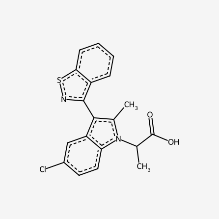 Cc1c(-c2nsc3ccccc23)c2cc(Cl)ccc2n1C(C)C(=O)O